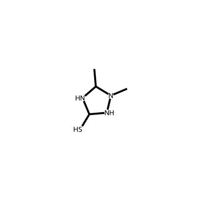 CC1NC(S)NN1C